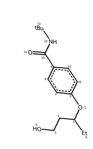 CCC(CCO)Oc1ccc(C(=O)NC(C)(C)C)cc1